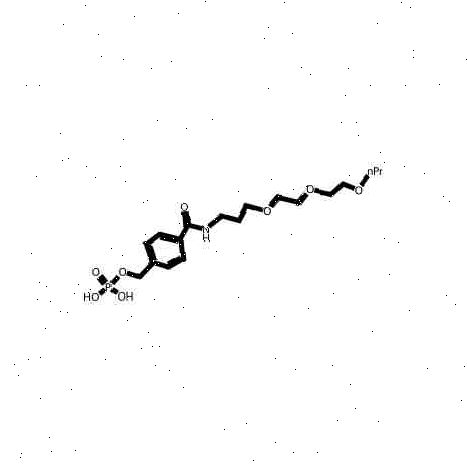 CCCOCCOCCOCCCNC(=O)c1ccc(COP(=O)(O)O)cc1